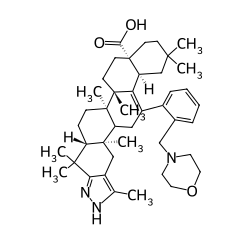 Cc1[nH]nc2c1C[C@]1(C)C3CC(c4ccccc4CN4CCOCC4)=C4[C@@H]5CC(C)(C)CC[C@]5(C(=O)O)CC[C@@]4(C)[C@]3(C)CC[C@H]1C2(C)C